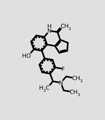 C=C1Nc2ccc(O)c(-c3ccc(C(C)N(CC)CC)c(F)c3)c2C2=C1CC=C2